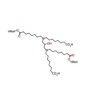 CCCCCCCCCOC(=O)CCCCCCCN(CCCCCCCC(=O)O)CC(O)CN(CCCCCCCC(=O)O)CCCCCCCC(=O)OCCCCCCCCC